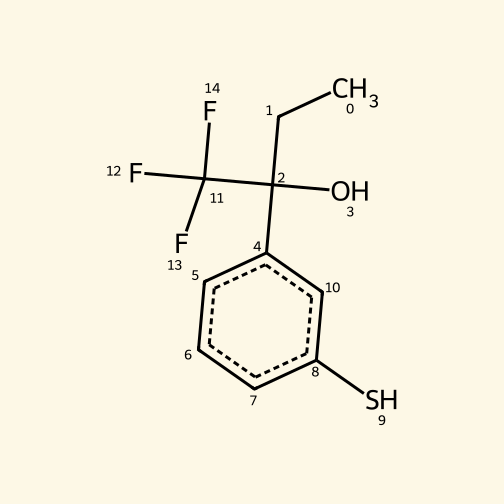 CCC(O)(c1cccc(S)c1)C(F)(F)F